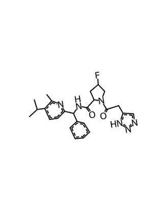 Cc1nc(C(NC(=O)C2CC(F)CN2C(=O)Cc2cnn[nH]2)c2ccccc2)ccc1C(C)C